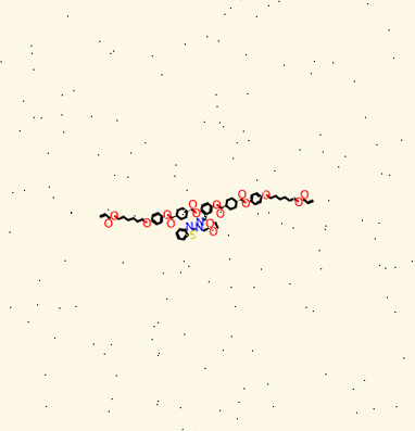 C=CC(=O)OCCCCCCOc1ccc(OC(=O)[C@H]2CC[C@H](C(=O)Oc3ccc(OC(=O)[C@H]4CC[C@H](C(=O)Oc5ccc(OCCCCCCOC(=O)C=C)cc5)CC4)c(/C=N/N(CC4OCCO4)c4nc5ccccc5s4)c3)CC2)cc1